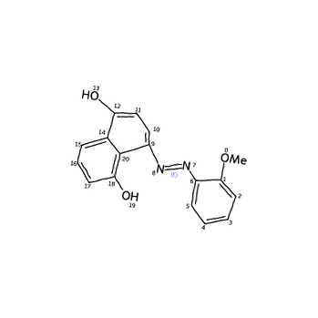 COc1ccccc1/N=N/c1ccc(O)c2cccc(O)c12